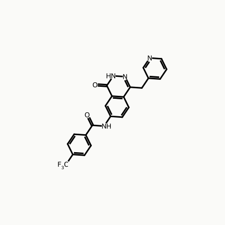 O=C(Nc1ccc2c(Cc3cccnc3)n[nH]c(=O)c2c1)c1ccc(C(F)(F)F)cc1